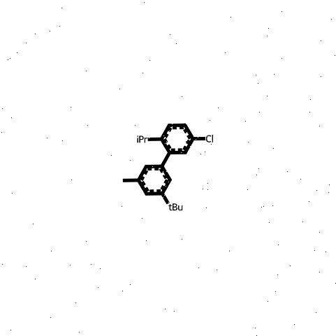 Cc1cc(-c2cc(Cl)ccc2C(C)C)cc(C(C)(C)C)c1